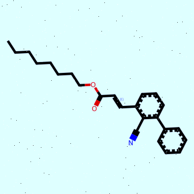 CCCCCCCCOC(=O)/C=C/c1cccc(-c2ccccc2)c1C#N